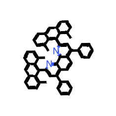 Cc1cccc2cc3cccc(C)c3c(-c3cc(-c4ccccc4)c4ccc5c(-c6ccccc6)cc(-c6c7c(C)cccc7cc7cccc(C)c67)nc5c4n3)c12